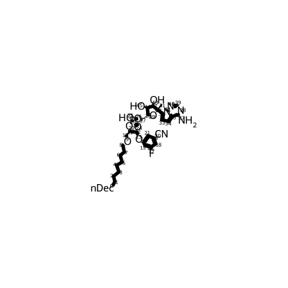 CCCCCCCCCCCCCCCCCCOC[C@H](COc1cc(F)cc(C#N)c1)OP(=O)(O)OC[C@H]1O[C@@](C)(c2ccc3c(N)ncnn23)[C@H](O)[C@@H]1O